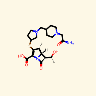 C[C@@H](O)[C@H]1C(=O)N2C(C(=O)O)=C(SC3CCN(CC4CCN(CC(N)=O)CC4)C3)[C@H](C)[C@H]12